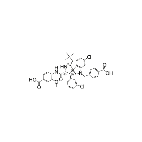 COc1cc(C(=O)O)ccc1NC(=O)[C@@H]1N[C@@H](CC(C)(C)C)[C@@]2(CN(Cc3ccc(C(=O)O)cc3)c3cc(Cl)ccc32)[C@H]1c1cccc(Cl)c1